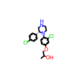 CC(O)COc1ccc(N2CCNC[C@H]2c2ccc(Cl)cc2)c(Cl)c1